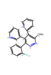 COc1nnc(-c2ccccc2F)c(-c2cccnc2)c1-c1ccccn1